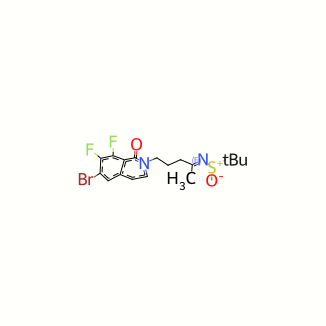 C/C(CCCn1ccc2cc(Br)c(F)c(F)c2c1=O)=N\[S+]([O-])C(C)(C)C